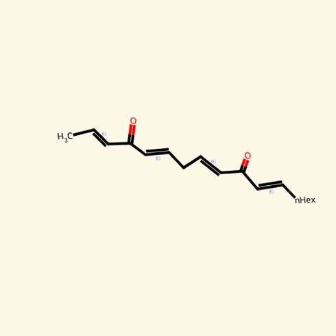 C/C=C/C(=O)/C=C/C/C=C/C(=O)/C=C/CCCCCC